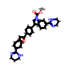 CC(C)(C)OC(=O)n1cc(-c2ccc(-c3cc4ccc(C5=NCCCN5)cc4o3)cc2)c2ccc(C3=NCCCN3)cc21